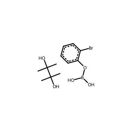 CC(C)(O)C(C)(C)O.OB(O)Oc1ccccc1Br